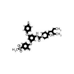 CCC(CC)CC1(O)CCN(C(=O)Nc2cc(Oc3ccc(F)cc3)cc(Oc3ccc(S(C)(=O)=O)cc3F)c2)CC1